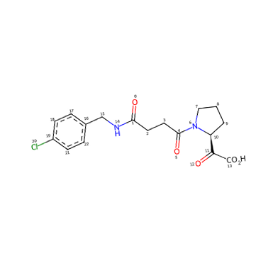 O=C(CCC(=O)N1CCC[C@H]1C(=O)C(=O)O)NCc1ccc(Cl)cc1